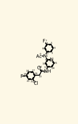 CC(=O)N(c1cccc(F)c1)c1cc(NC(=O)Cc2ccc(F)cc2Cl)ccn1